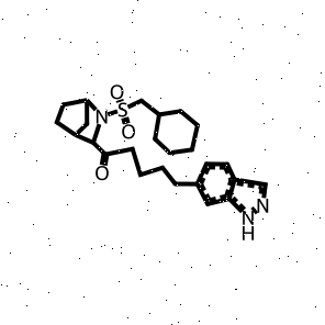 O=C(CCCCc1ccc2cn[nH]c2c1)C1C2CCC(C2)N1S(=O)(=O)CC1CCCCC1